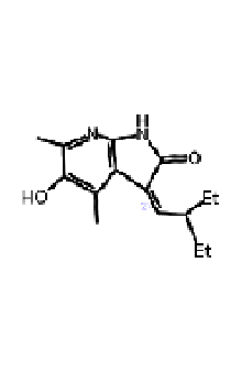 CCC(/C=C1\C(=O)Nc2nc(C)c(O)c(C)c21)CC